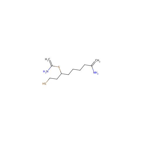 C=C(N)CCCCC(CCS)SC(=C)N